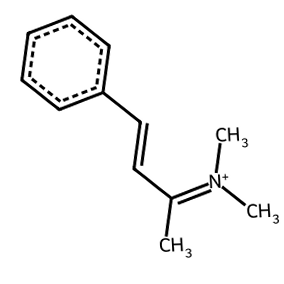 CC(/C=C/c1ccccc1)=[N+](C)C